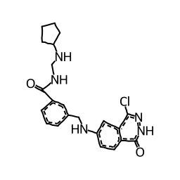 O=C(NCNC1CCCC1)c1cccc(CNc2ccc3c(=O)[nH]nc(Cl)c3c2)c1